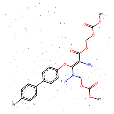 CC(C)OC(=O)OCOC(=O)/C(N)=C(\Oc1ccc(-c2ccc(C(C)C)cc2)cc1)N(N)COC(=O)OC(C)C